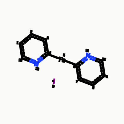 [I].c1cc[c]([Fe][c]2ccccn2)nc1